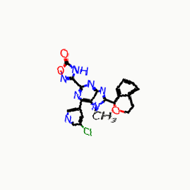 Cn1c(C2OCCc3ccccc32)nc2nc(-c3noc(=O)[nH]3)nc(-c3cncc(Cl)c3)c21